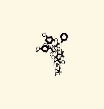 COc1ccc([C@H](NC(=O)[C@@H](Cc2ccccc2)Oc2cc(Cl)cc(Cl)c2)C(=O)N[C@H](C(=O)C(F)(F)C(=O)NCC(F)(F)F)C(C)C)cc1